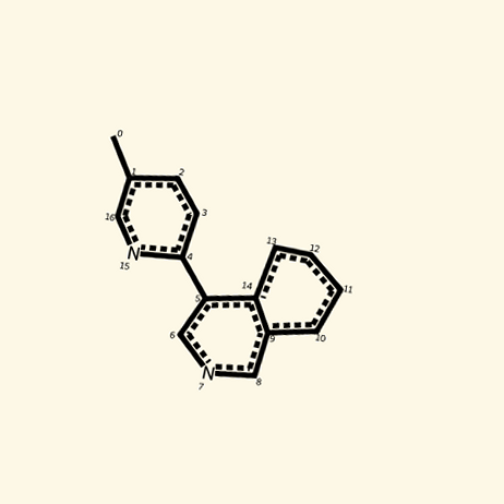 Cc1ccc(-c2cncc3ccccc23)nc1